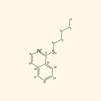 CCCCCSc1nccc2ccccc12